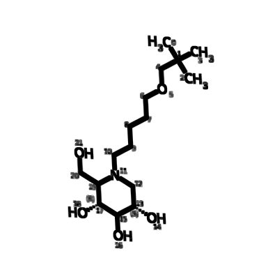 CC(C)(C)COCCCCCN1C[C@H](O)C(O)[C@H](O)C1CO